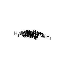 CCOCO[C@H]1CC[C@@]2(C)[C@H](C1)C(=O)C[C@@H]1[C@@H]2CC[C@]2(C)[C@@H]3[C@H](C[C@@H]12)O[C@]1(CC[C@@H](C)CO1)[C@H]3C